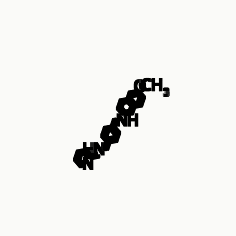 COc1ccc2c(c1)CCC(NCc1ccc(CNCc3ccccn3)cc1)C2